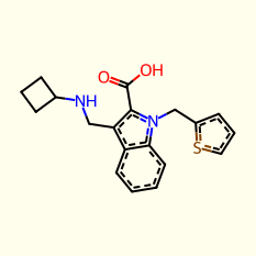 O=C(O)c1c(CNC2CCC2)c2ccccc2n1Cc1cccs1